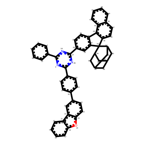 c1ccc(-c2nc(-c3ccc(-c4ccc5oc6ccccc6c5c4)cc3)nc(-c3ccc4c(c3)C3(c5ccc6ccccc6c5-4)C4CC5CC(C4)CC3C5)n2)cc1